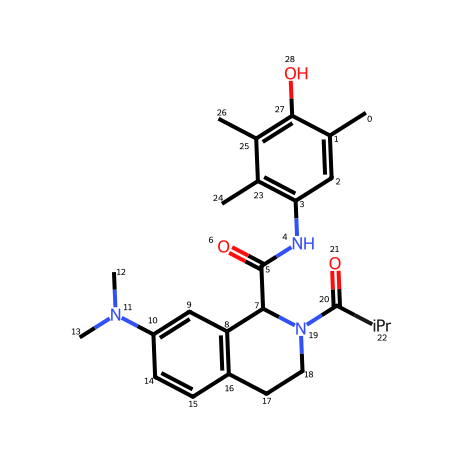 Cc1cc(NC(=O)C2c3cc(N(C)C)ccc3CCN2C(=O)C(C)C)c(C)c(C)c1O